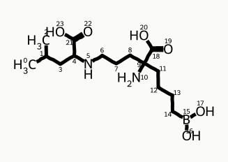 CC(C)CC(NCCCC(N)(CCCCB(O)O)C(=O)O)C(=O)O